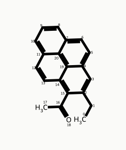 CCc1cc2ccc3cccc4ccc(c1C(C)=O)c2c34